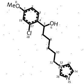 COc1ccc(C(O)CCCCCn2ccnc2)c(Cl)c1